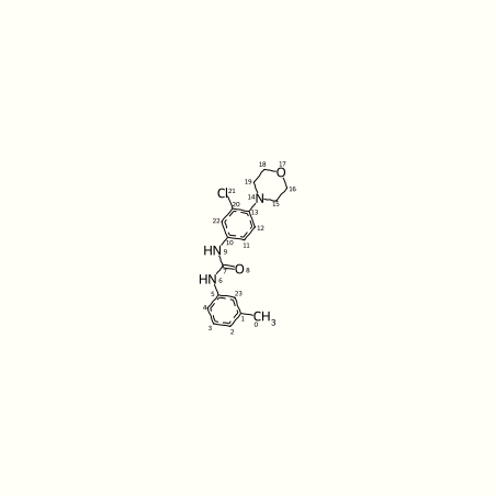 Cc1cccc(NC(=O)Nc2ccc(N3CCOCC3)c(Cl)c2)c1